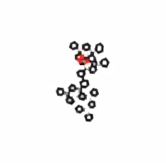 c1ccc(N(c2ccccc2)c2cccc(N(c3ccccc3)c3ccc4c(c3)N(c3cccc(-c5cccc(N(c6ccccc6)c6cccc7c6c6cc8c(cc6n7-c6ccccc6)N(c6ccccc6)c6cccc7c6B8c6ccccc6N7c6ccccc6)c5)c3)c3cccc5c3B4c3ccccc3N5c3ccccc3)c2)cc1